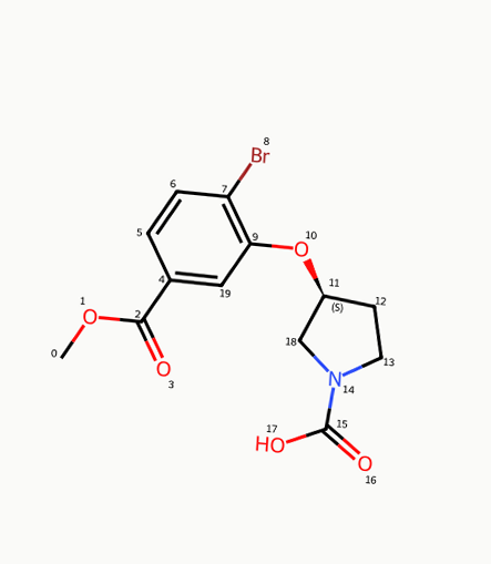 COC(=O)c1ccc(Br)c(O[C@H]2CCN(C(=O)O)C2)c1